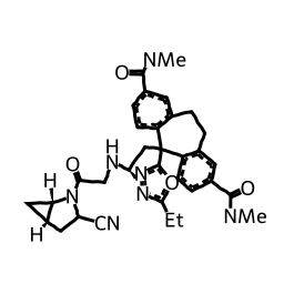 CCc1nnc(C2(C[C@@H](C)NCC(=O)N3C(C#N)C[C@@H]4C[C@@H]43)c3ccc(C(=O)NC)cc3CCc3cc(C(=O)NC)ccc32)o1